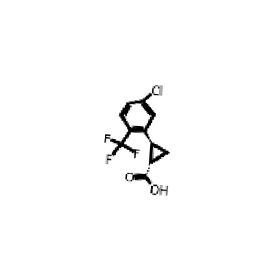 O=C(O)[C@H]1C[C@@H]1c1cc(Cl)ccc1C(F)(F)F